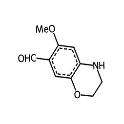 COc1cc2c(cc1C=O)OCCN2